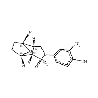 N#Cc1ccc(N2C[C@@H]3[C@@H]([C@@H]4CC[C@H]3O4)S2(=O)=O)cc1C(F)(F)F